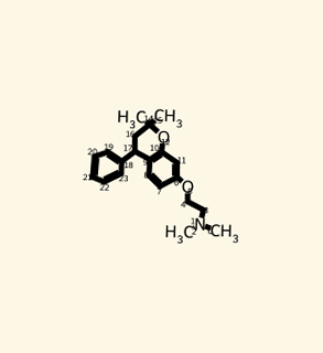 CN(C)CCOc1ccc2c(c1)OC(C)(C)CC2c1ccccc1